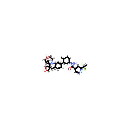 CC1CCC(NC(=O)c2ccnc(C(C)(F)F)c2)CC1c1ccc2c(c1)N1CCOCC3CC31C1(COC1)C2